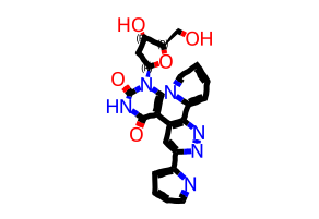 O=c1[nH]c(=O)n([C@H]2C[C@@H](O)[C@@H](CO)O2)cc1-c1cc(-c2ccccn2)nnc1-c1ccccn1